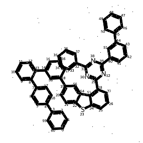 c1ccc(-c2ccc(-c3ccccc3-c3cccc(-c4ccc5sc6cccc(-c7nc(-c8ccccc8)nc(-c8cccc(-c9ccccc9)c8)n7)c6c5c4)c3)cc2)cc1